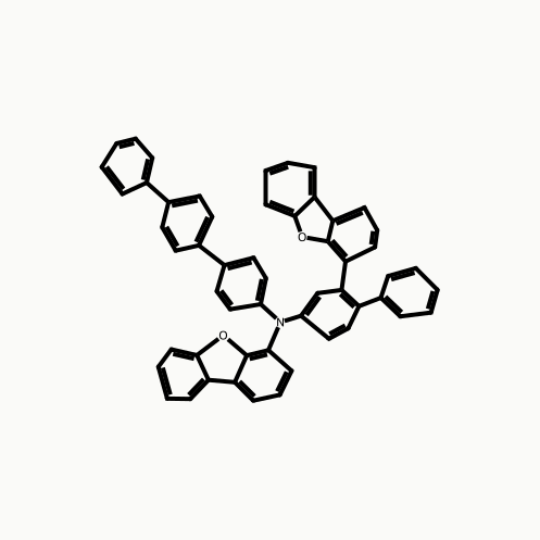 c1ccc(-c2ccc(-c3ccc(N(c4ccc(-c5ccccc5)c(-c5cccc6c5oc5ccccc56)c4)c4cccc5c4oc4ccccc45)cc3)cc2)cc1